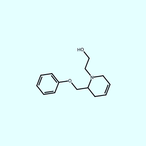 OCCN1CC=CCC1COc1ccccc1